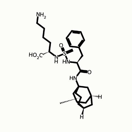 C=S(=O)(N[C@@H](CCCCN)C(=O)O)N[C@@H](Cc1ccccc1)C(=O)NC12CC3C[C@H](C[C@@H]3C[C@@H](C)C1)C2